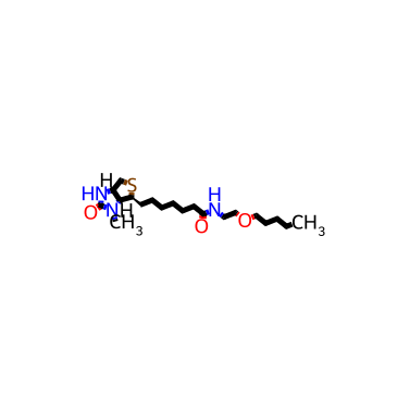 CCCCCOCCNC(=O)CCCCCC[C@@H]1SC[C@@H]2NC(=O)N(C)[C@@H]21